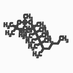 CCCCC(C)C(C)(C)C(C)(C)C(C)(C)[Si](C)(C)O[Si](C)(C)O[Si](C)(C)C